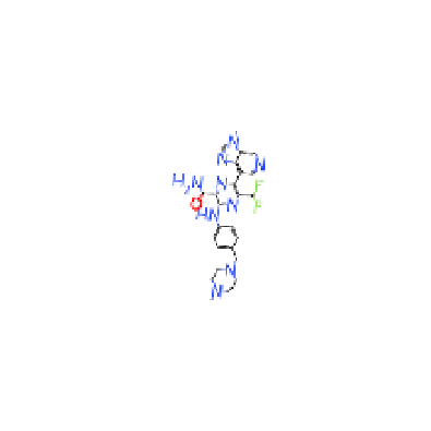 CN1CCN(Cc2ccc(Nc3nc(C(F)F)c(-c4cncc5c4ncn5C)nc3C(N)=O)cc2)CC1